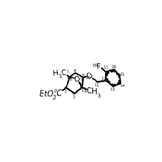 CCOC(=O)C1CC2(C)OC1(C)CC2OCc1ccccc1F